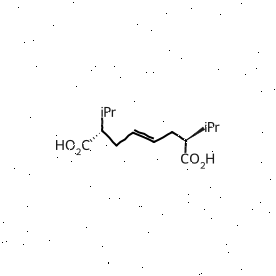 CC(C)[C@H](C/C=C/C[C@H](C(=O)O)C(C)C)C(=O)O